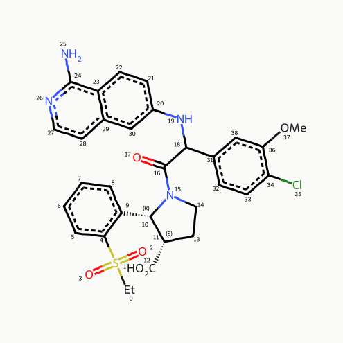 CCS(=O)(=O)c1ccccc1[C@H]1[C@@H](C(=O)O)CCN1C(=O)C(Nc1ccc2c(N)nccc2c1)c1ccc(Cl)c(OC)c1